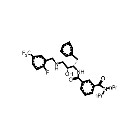 CCCN(CCC)C(=O)c1cccc(C(=O)N[C@@H](Cc2ccccc2)[C@H](O)CNCc2cc(C(F)(F)F)ccc2F)c1